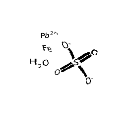 O.O=S(=O)([O-])[O-].[Fe].[Pb+2]